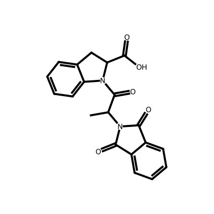 CC(C(=O)N1c2ccccc2CC1C(=O)O)N1C(=O)c2ccccc2C1=O